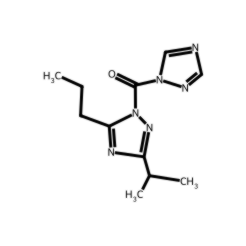 CCCc1nc(C(C)C)nn1C(=O)n1cncn1